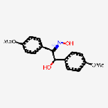 COc1ccc(/C(=N/O)C(O)c2ccc(OC)cc2)cc1